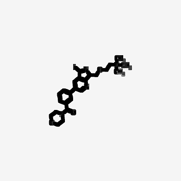 C[Si](C)(C)CCOCC1N=C(I)c2cc(-c3cccc(C(=O)N4CCOCC4)c3)cnc21